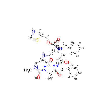 CCc1nc(CN(C)C(=O)N[C@H](C(=O)N[C@](O)(CC[C@@H](Cc2ccccc2)NC(=O)OCc2cncs2)Cc2ccccc2)C(C)C)co1